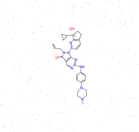 C=CCn1c(=O)c2cnc(Nc3ccc(N4CCN(C)CC4)cc3)nc2n1-c1ccc2c(n1)[C@@](O)(C1CC1)CC2